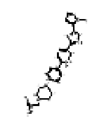 Cn1nccc1-c1n[nH]c(C2=CC=C(c3ccc([C@H]4CC[C@H](CC(=O)O)CC4)cc3)NC2)n1